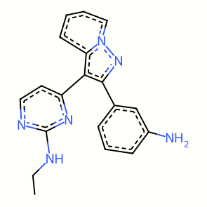 CCNc1nccc(-c2c(-c3cccc(N)c3)nn3ccccc23)n1